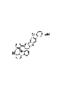 N#Cc1cccc(-c2ccc3oc4cc5c6c(oc5cc4c3c2)C=CC(C#N)C6)c1-n1c2ccccc2c2ccccc21